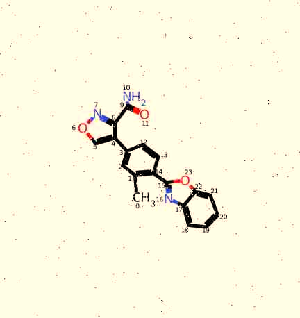 Cc1cc(-c2conc2C(N)=O)ccc1-c1nc2ccccc2o1